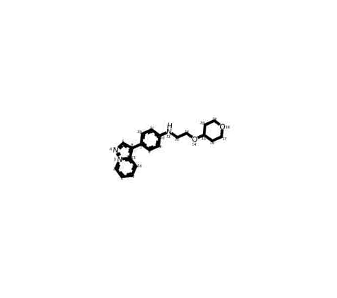 c1ccn2ncc(-c3ccc(NCCOC4CCOCC4)cc3)c2c1